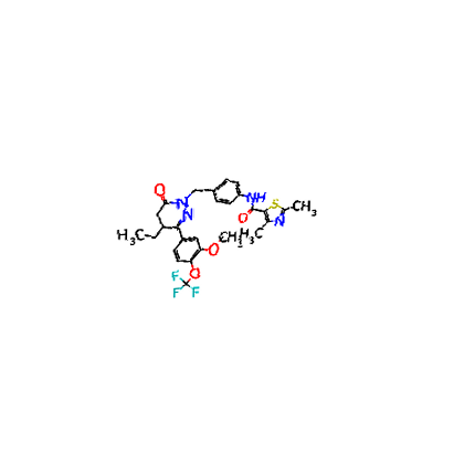 CCC1CC(=O)N(Cc2ccc(NC(=O)c3sc(C)nc3C)cc2)N=C1c1ccc(OC(F)(F)F)c(OC)c1